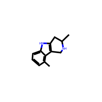 Cc1cccc2[nH]c3c(c12)CNC(C)C3